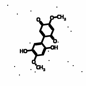 COC1=CC(=O)C(c2cc(O)c(OC)cc2O)=CC1=O